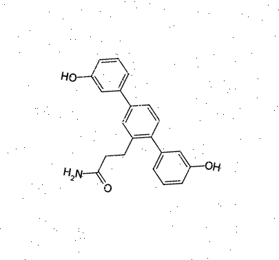 NC(=O)CCc1cc(-c2cccc(O)c2)ccc1-c1cccc(O)c1